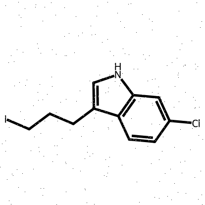 Clc1ccc2c(CCCI)c[nH]c2c1